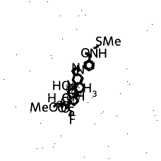 COCC(=O)O[C@]1(C(=O)SCF)CC[C@H]2[C@@H]3CCC4=Cc5c(cnn5-c5cccc(C(=O)NCCSC)c5)C[C@]4(C)[C@H]3[C@@H](O)C[C@@]21C